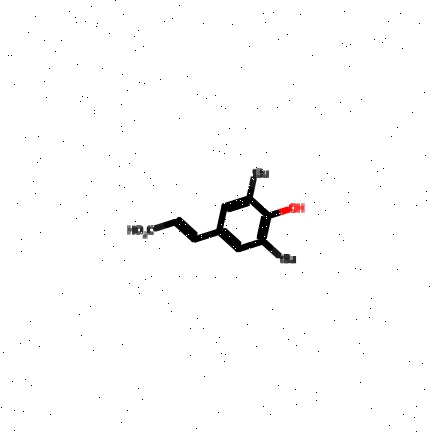 CC(C)(C)c1cc(/C=C/C(=O)O)cc(C(C)(C)C)c1O